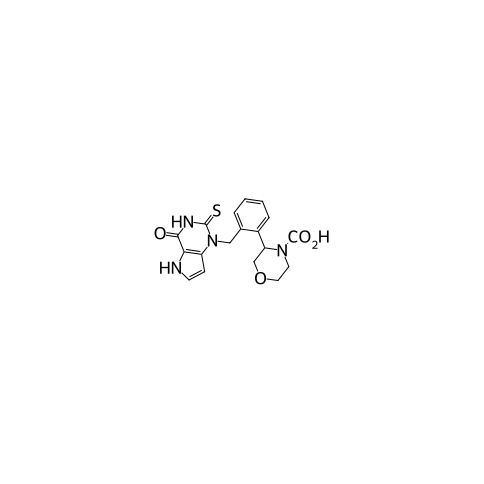 O=C(O)N1CCOCC1c1ccccc1Cn1c(=S)[nH]c(=O)c2[nH]ccc21